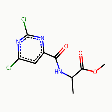 COC(=O)C(C)NC(=O)c1cc(Cl)nc(Cl)n1